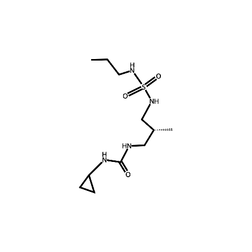 CCCNS(=O)(=O)NC[C@H](C)CNC(=O)NC1CC1